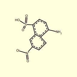 Nc1ccc(S(=O)(=O)O)c2cc([N+](=O)[O-])ccc12